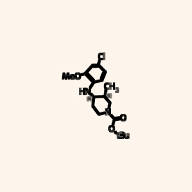 COc1cc(Cl)ccc1N[C@@H]1CCN(C(=O)OC(C)(C)C)C[C@@H]1C